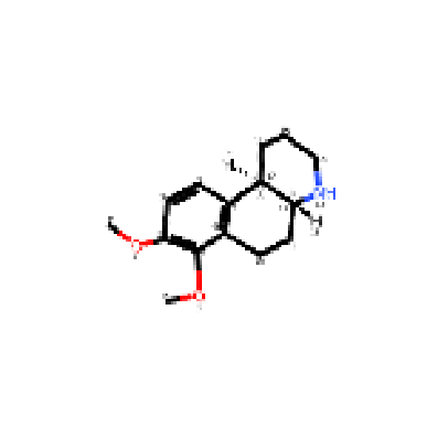 COc1ccc2c(c1OC)CC[C@H]1NCCC[C@H]21